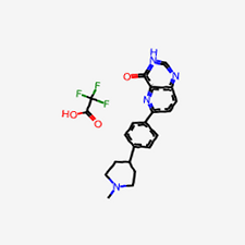 CN1CCC(c2ccc(-c3ccc4nc[nH]c(=O)c4n3)cc2)CC1.O=C(O)C(F)(F)F